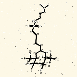 CN(C)CCCNS(=O)(=O)CCCCC(CC(F)(C(F)(F)F)C(F)(F)F)CC(F)(C(F)(F)F)C(F)(F)F